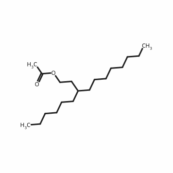 CCCCCCCCC(CCCCCC)CCOC(C)=O